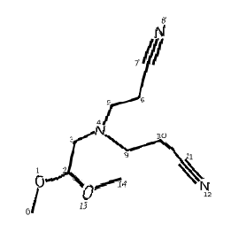 COC(CN(CCC#N)CCC#N)OC